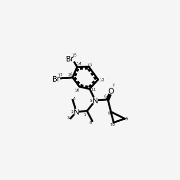 CC(N(C)C)N(C(=O)C1CC1)c1ccc(Br)c(Br)c1